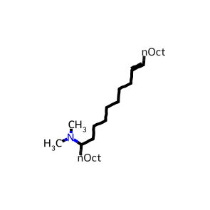 CCCCCCCCC=CCCCCCCCC(CCCCCCCC)N(C)C